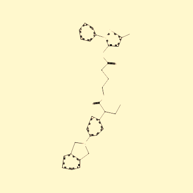 CCC(C(=O)OCCCC(=O)Oc1cc(C)nn1-c1ccccc1)c1ccc(N2Cc3ccccc3C2)cc1